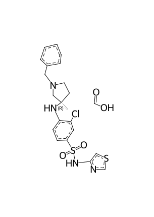 C[C@@]1(Nc2ccc(S(=O)(=O)Nc3cscn3)cc2Cl)CCN(Cc2ccccc2)C1.O=CO